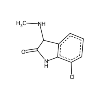 CNC1C(=O)Nc2c(Cl)cccc21